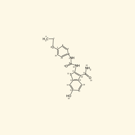 CCOc1ccc(NC(=O)Nc2sc3cc(O)ccc3c2C(N)=O)cc1